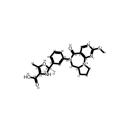 CSc1ncc2c(n1)N1CCCC1CN(c1cccc([C@@]3(C)NC(C(=O)O)=C(C)O3)c1)C2=O